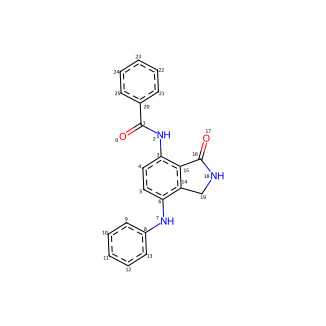 O=C(Nc1ccc(Nc2ccccc2)c2c1C(=O)NC2)c1ccccc1